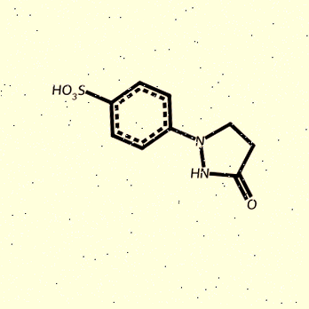 O=C1CCN(c2ccc(S(=O)(=O)O)cc2)N1